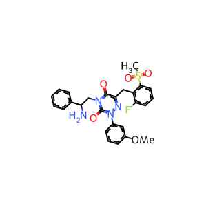 COc1cccc(-n2nc(Cc3c(F)cccc3S(C)(=O)=O)c(=O)n(CC(N)c3ccccc3)c2=O)c1